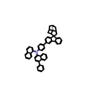 c1ccc(-c2ccc(N(c3ccc(-c4ccc5c(c4)-c4ccccc4C54C5CC6CC7CC4C7(C6)C5)cc3)c3cccc4ccccc34)c3ccccc23)cc1